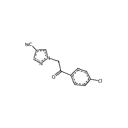 N#Cc1cnn(CC(=O)c2ccc(Cl)cc2)c1